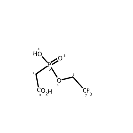 O=C(O)CP(=O)(O)OCC(F)(F)F